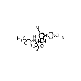 COc1nc2c(N3CCN(C)CC3)cc(C#N)cc2n1C(=O)NCCC(C)C